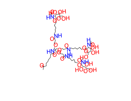 COC(CO)C(O)C(O)C(NC(C)=O)OCCCCCCNC(=O)CCOCC(COCCC(=O)NCCCCCCOC1OC(CO)C(O)C(O)C1NC(C)=O)(COCCC(=O)NCCCCCCOC1OC(CO)C(O)C(O)C1NC(C)=O)NC(=O)CCCCCCC(C)=O